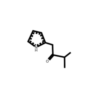 CC(C)C(=O)Cc1ccc[nH]1